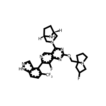 Fc1c(-c2c(C(F)(F)F)ccc3[nH]ncc23)ncc2c(N3C[C@H]4CC[C@@H](C3)N4)nc(OCC34CCCN3CC(F)C4)nc12